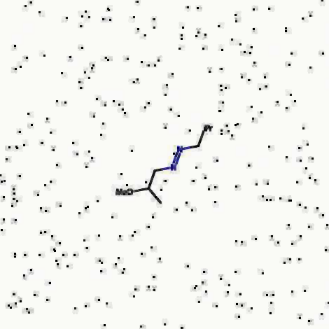 COC(C)CN=NCC(C)C